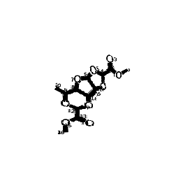 COC(=O)C1OC2OC3C(C)OC(C(=O)OC)OC3C2O1